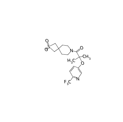 CC(C)(Oc1ccc(C(F)(F)F)nc1)C(=O)N1CCC2(CC1)CS(=O)(=O)C2